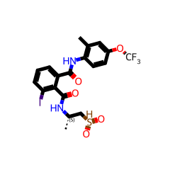 Cc1cc(OC(F)(F)F)ccc1NC(=O)c1cccc(I)c1C(=O)N[C@@H](C)C[SH](=O)=O